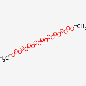 C=COOOOOOOOOOOOOOOOOOOC=C